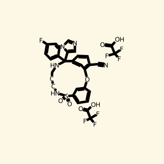 Cn1cncc1C1(c2ccc(F)cc2)NCCCNS(=O)(=O)c2cccc(c2)Oc2cc1ccc2C#N.O=C(O)C(F)(F)F.O=C(O)C(F)(F)F